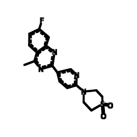 Cc1nc(-c2ccc(N3CCS(=O)(=O)CC3)nc2)nc2cc(F)ccc12